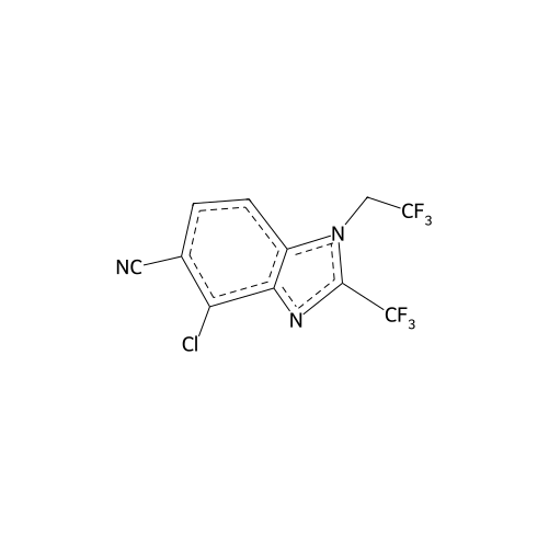 N#Cc1ccc2c(nc(C(F)(F)F)n2CC(F)(F)F)c1Cl